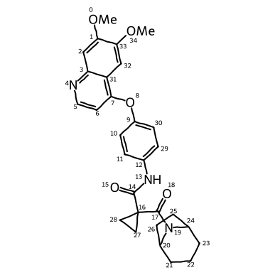 COc1cc2nccc(Oc3ccc(NC(=O)C4(C(=O)N5C6CCCC5CC6)CC4)cc3)c2cc1OC